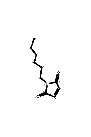 C[CH]CCCCN1C(=O)C=CC1=O